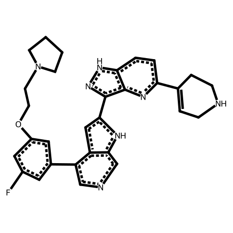 Fc1cc(OCCN2CCCC2)cc(-c2cncc3[nH]c(-c4n[nH]c5ccc(C6=CCNCC6)nc45)cc23)c1